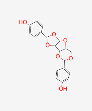 Oc1ccc(C2OCC3OC4OC(c5ccc(O)cc5)OC4C3O2)cc1